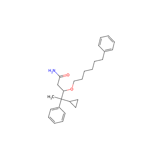 CC(c1ccccc1)(C1CC1)C(CC(N)=O)OCCCCCCc1ccccc1